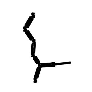 CB=S(=S)=S=S=S=S